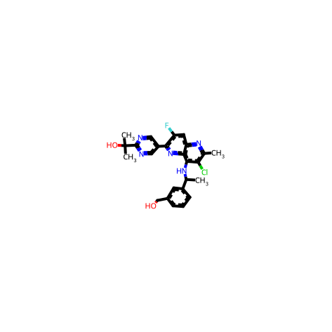 Cc1nc2cc(F)c(-c3cnc(C(C)(C)O)nc3)nc2c(NC(C)c2cccc(CO)c2)c1Cl